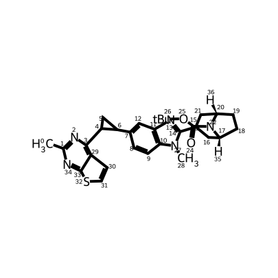 Cc1nc(C2CC2c2ccc3c(c2)nc(C2C[C@H]4CC[C@@H](C2)N4C(=O)OC(C)(C)C)n3C)c2ccsc2n1